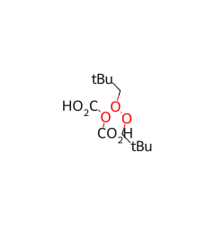 CC(C)(C)COOCC(C)(C)C.O=C(O)OC(=O)O